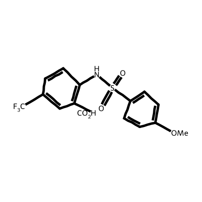 COc1ccc(S(=O)(=O)Nc2ccc(C(F)(F)F)cc2C(=O)O)cc1